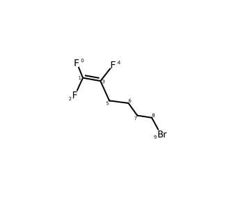 FC(F)=C(F)CCCCBr